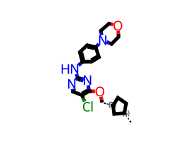 C[C@H]1CC[C@@H](COc2nc(Nc3ccc(N4CCOCC4)cc3)ncc2Cl)C1